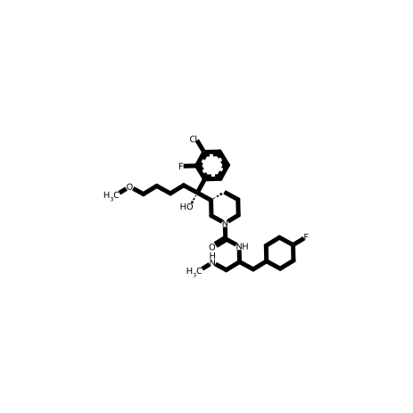 CNCC(CC1CCC(F)CC1)NC(=O)N1CCC[C@@H]([C@@](O)(CCCCOC)c2cccc(Cl)c2F)C1